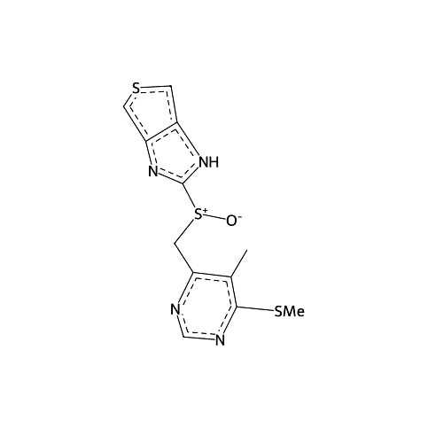 CSc1ncnc(C[S+]([O-])c2nc3cscc3[nH]2)c1C